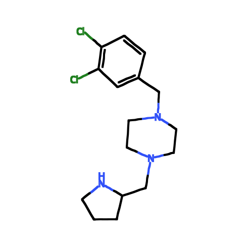 Clc1ccc(CN2CCN(CC3CCCN3)CC2)cc1Cl